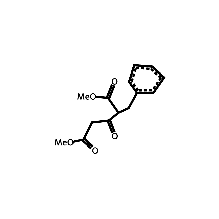 COC(=O)CC(=O)C(Cc1ccccc1)C(=O)OC